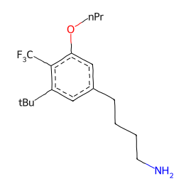 CCCOc1cc(CCCCN)cc(C(C)(C)C)c1C(F)(F)F